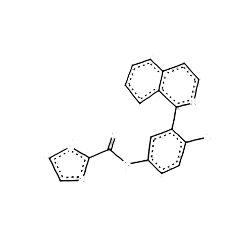 O=C(Nc1ccc(Cl)c(-c2nccc3ccccc23)c1)c1nccs1